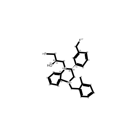 Cc1ccccc1CN1C[C@@H](c2cccc(CF)c2)N(C[C@@H](O)CF)c2ccccc21